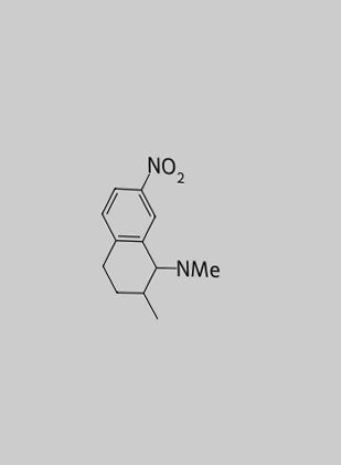 CNC1c2cc([N+](=O)[O-])ccc2CCC1C